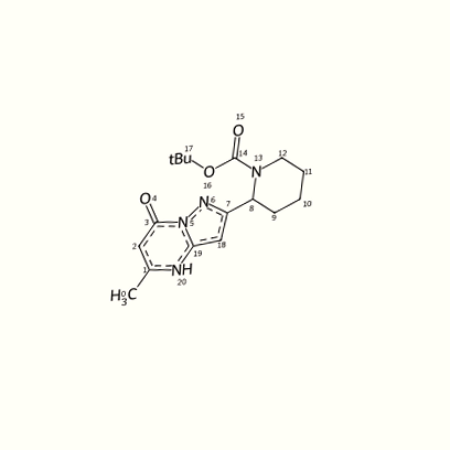 Cc1cc(=O)n2nc(C3CCCCN3C(=O)OC(C)(C)C)cc2[nH]1